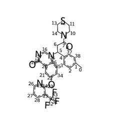 Cc1ccc(C(CC(=O)N2CCSCC2)n2cnc(=O)c3cc(Oc4ncccc4C(F)(F)F)ccc32)cc1